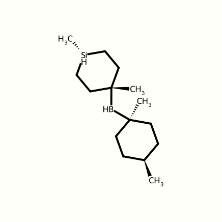 C[C@H]1CC[C@@](C)(B[C@]2(C)CC[Si@H](C)CC2)CC1